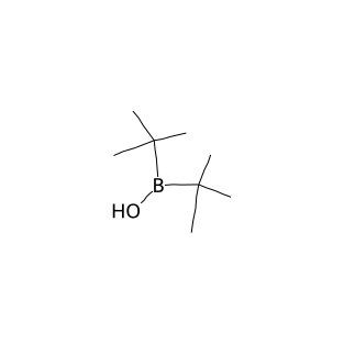 CC(C)(C)B(O)C(C)(C)C